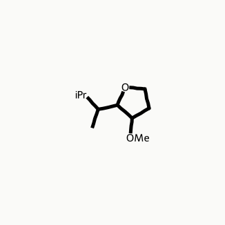 COC1CCOC1C(C)C(C)C